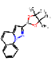 CC1(C)OB(c2cc3ccc4ccccc4n3n2)OC1(C)C